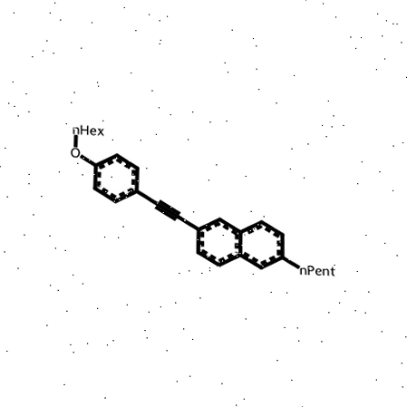 CCCCCCOc1ccc(C#Cc2ccc3cc(CCCCC)ccc3c2)cc1